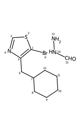 Brc1scnc1CC1CCCCC1.NNC=O